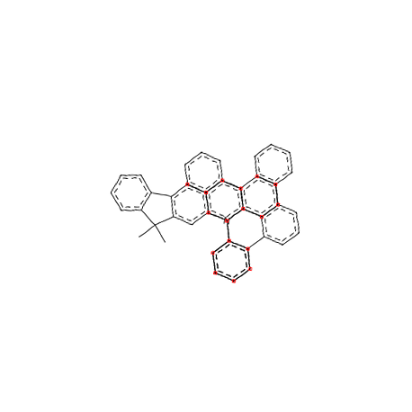 CC1(C)c2ccccc2-c2ccc(N(c3ccccc3-c3ccccc3)c3ccccc3-c3cccc(-c4ccccc4)c3-c3ccccc3-c3ccccc3)cc21